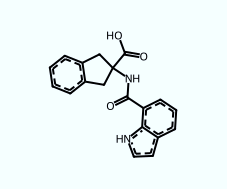 O=C(NC1(C(=O)O)Cc2ccccc2C1)c1cccc2cc[nH]c12